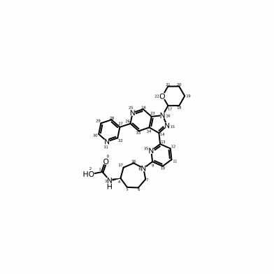 O=C(O)N[C@@H]1CCCN(c2cccc(-c3nn(C4CCCCO4)c4cnc(-c5cccnc5)cc34)n2)CC1